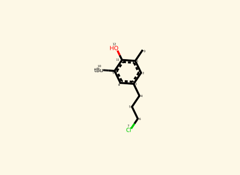 Cc1cc(CCCCl)cc(C(C)(C)C)c1O